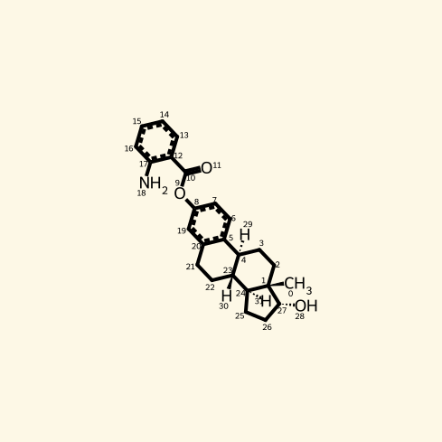 C[C@]12CC[C@@H]3c4ccc(OC(=O)c5ccccc5N)cc4CC[C@H]3[C@@H]1CC[C@H]2O